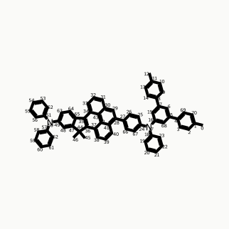 Cc1ccc(-c2cc(-c3ccc(C)cc3)cc(N(c3ccccc3)c3ccc(-c4cc5cccc6c7c(c8cccc4c8c56)C(C)(C)c4cc(N(c5ccccc5)c5ccccc5)ccc4-7)cc3)c2)cc1